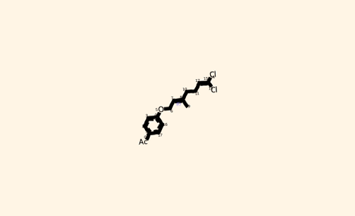 CC(=O)c1ccc(OC/C=C(\C)CCC=C(Cl)Cl)cc1